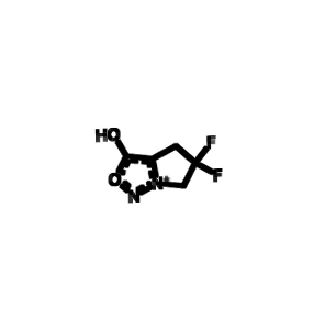 Oc1on[n+]2c1CC(F)(F)C2